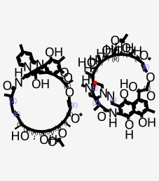 CO[C@H]1/C=C/O[C@@]2(C)Oc3c(C)c(O)c4c(O)c(c(/C=N/N5CCN(C)CC5)c(O)c4c3C2=O)NC(=O)/C(C)=C\C=C\[C@H](C)[C@H](O)[C@@H](C)[C@@H](O)[C@@H](C)[C@H](OC(C)=O)[C@@H]1C.CO[C@H]1/C=C/O[C@@]2(C)Oc3c(C)c(O)c4c(O)c(c5c(nc6cc(C)ccn65)c4c3C2=O)NC(=O)/C(C)=C\C=C\[C@H](C)[C@H](O)[C@@H](C)[C@@H](O)[C@@H](C)[C@H](OC(C)=O)[C@@H]1C